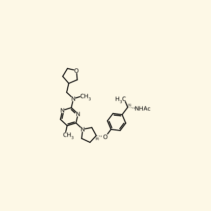 CC(=O)N[C@@H](C)c1ccc(O[C@@H]2CCN(c3nc(N(C)CC4CCOC4)ncc3C)C2)cc1